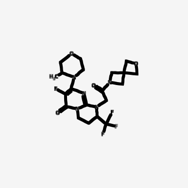 CC1COCCN1c1nc2n(c(=O)c1F)CCC(C(F)(F)F)N2CC(=O)N1CC2(COC2)C1